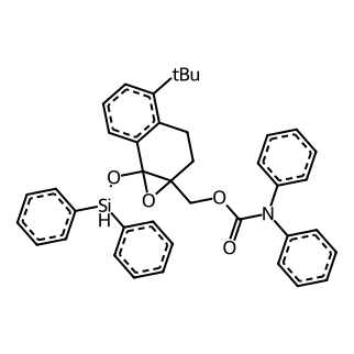 CC(C)(C)c1cccc2c1CCC1(COC(=O)N(c3ccccc3)c3ccccc3)OC21O[SiH](c1ccccc1)c1ccccc1